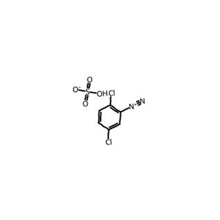 N#[N+]c1cc(Cl)ccc1Cl.O=S(=O)([O-])O